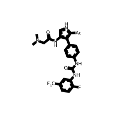 CC(=O)c1[nH]cc(NC(=O)CN(C)C)c1-c1ccc(NC(=O)Nc2cc(C(F)(F)F)ccc2F)cc1